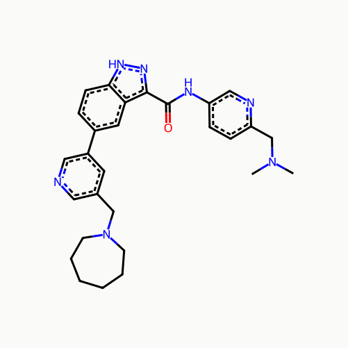 CN(C)Cc1ccc(NC(=O)c2n[nH]c3ccc(-c4cncc(CN5CCCCCC5)c4)cc23)cn1